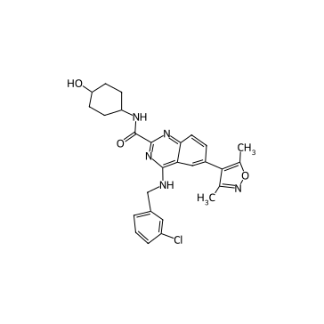 Cc1noc(C)c1-c1ccc2nc(C(=O)NC3CCC(O)CC3)nc(NCc3cccc(Cl)c3)c2c1